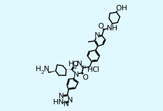 Cc1nc(C(=O)NC2CCC(O)CC2)ccc1-c1ccc(C[C@H](N)C(=O)N(c2ccc(-c3nn[nH]n3)cc2)C(=O)[C@H]2CC[C@H](CN)CC2)cc1.Cl